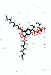 CCCC(=O)O.CCCC(=O)O.CCCCCCCCOC(=O)c1ccccc1C(=O)OCCCCCCCC